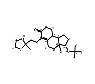 CC(C)(C)O[C@@H]1CCC2C3CCC(=O)C(CCC4(C)OCCO4)=C3CCC21C